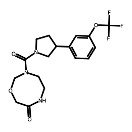 O=C1COCN(C(=O)N2CCC(c3cccc(OC(F)(F)F)c3)C2)CCN1